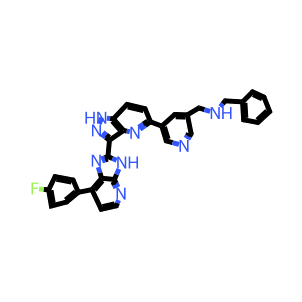 Fc1ccc(-c2ccnc3[nH]c(-c4n[nH]c5ccc(-c6cncc(CNCc7ccccc7)c6)nc45)nc23)cc1